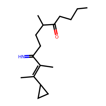 CCCCC(=O)C(C)CCC(=N)/C(C)=C(\C)C1CC1